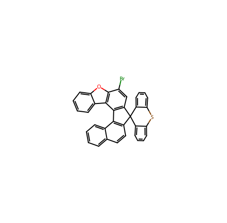 Brc1cc2c(c3c1oc1ccccc13)-c1c(ccc3ccccc13)C21c2ccccc2Sc2ccccc21